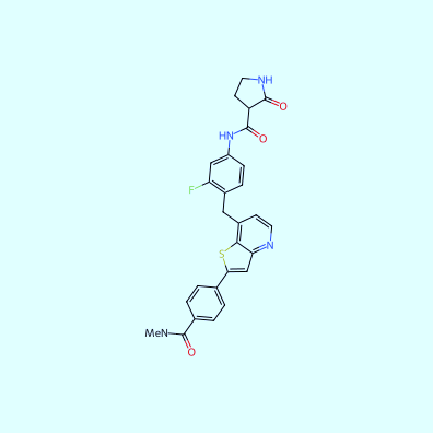 CNC(=O)c1ccc(-c2cc3nccc(Cc4ccc(NC(=O)C5CCNC5=O)cc4F)c3s2)cc1